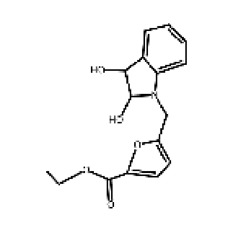 CCOC(=O)c1ccc(CN2c3ccccc3C(O)C2O)o1